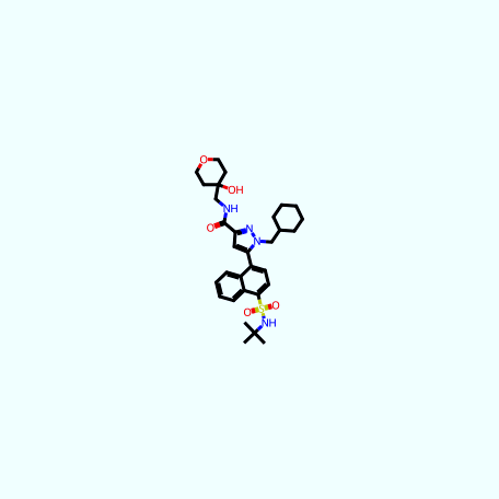 CC(C)(C)NS(=O)(=O)c1ccc(-c2cc(C(=O)NCC3(O)CCOCC3)nn2CC2CCCCC2)c2ccccc12